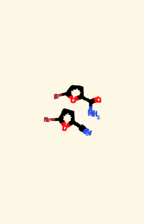 N#Cc1ccc(Br)o1.NC(=O)c1ccc(Br)o1